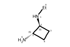 CCN[C@H]1CC[C@@H]1N